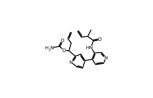 C=CCC(OC(N)=O)c1cc(-c2ccncc2NC(=O)C(C)C=C)ccn1